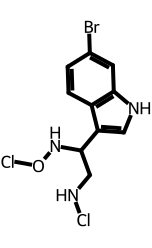 ClNCC(NOCl)c1c[nH]c2cc(Br)ccc12